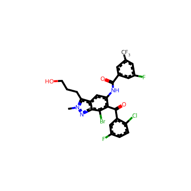 Cn1nc2c(Br)c(C(=O)c3cc(F)ccc3Cl)c(NC(=O)c3cc(F)cc(C(F)(F)F)c3)cc2c1CCCO